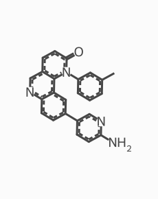 Cc1cccc(-n2c(=O)ccc3cnc4ccc(-c5ccc(N)nc5)cc4c32)c1